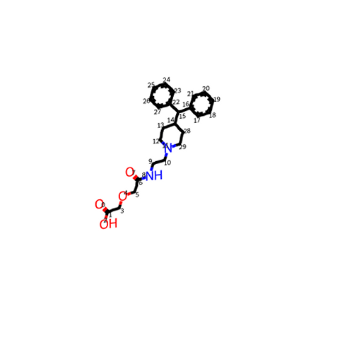 O=C(O)COCC(=O)NCCN1CCC(C(c2ccccc2)c2ccccc2)CC1